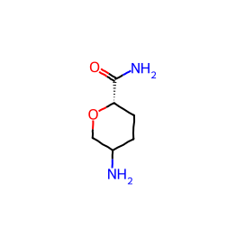 NC(=O)[C@@H]1CCC(N)CO1